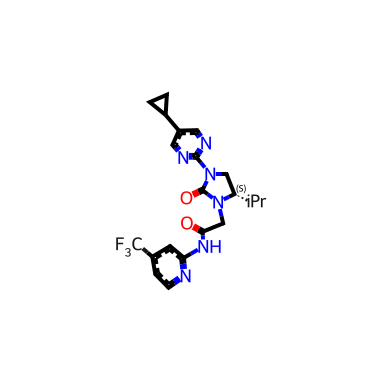 CC(C)[C@H]1CN(c2ncc(C3CC3)cn2)C(=O)N1CC(=O)Nc1cc(C(F)(F)F)ccn1